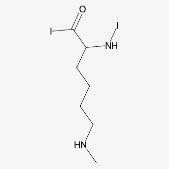 CNCCCCC(NI)C(=O)I